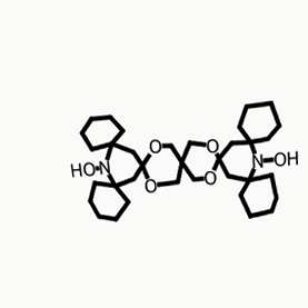 ON1C2(CCCCC2)CC2(CC13CCCCC3)OCC1(CO2)COC2(CC3(CCCCC3)N(O)C3(CCCCC3)C2)OC1